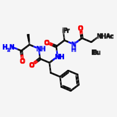 CC[C@H](C)C(NC(C)=O)C(=O)NC(C(=O)NC(Cc1ccccc1)C(=O)N[C@H](C)C(N)=O)C(C)C